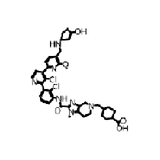 COc1nc(-c2ccnc(-c3cccc(NC(=O)c4nc5c(n4C)CCN(CC4CCC(C(=O)O)CC4)C5)c3Cl)c2Cl)ccc1CNC1CCC(O)C1